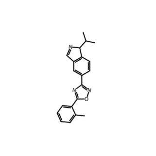 Cc1ccccc1-c1nc(-c2ccc3c(c2)C=NC3C(C)C)no1